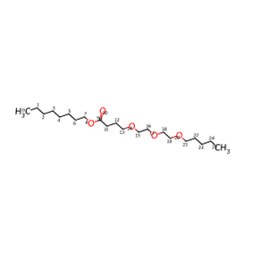 CCCCCCCCOC(=O)CCCOCCOCCOCCCCC